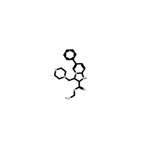 CCOC(=O)C1NC2C=CC(c3ccccc3)=CN2C1CN1CCOCC1